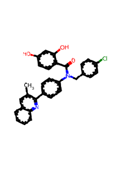 Cc1cc2ccccc2nc1-c1ccc(N(Cc2ccc(Cl)cc2)C(=O)c2ccc(O)cc2O)cc1